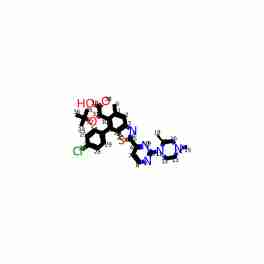 Cc1cc2nc(-c3ccnc(N4CCN(C)C[C@@H]4C)n3)sc2c(-c2ccc(Cl)cc2)c1C(OC(C)(C)C)C(=O)O